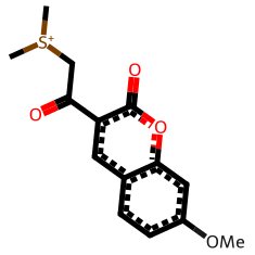 COc1ccc2cc(C(=O)C[S+](C)C)c(=O)oc2c1